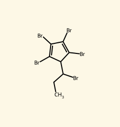 CCC(Br)C1C(Br)=C(Br)C(Br)=C1Br